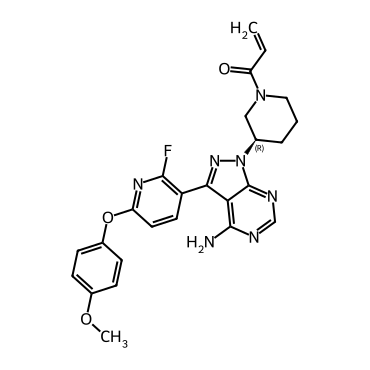 C=CC(=O)N1CCC[C@@H](n2nc(-c3ccc(Oc4ccc(OC)cc4)nc3F)c3c(N)ncnc32)C1